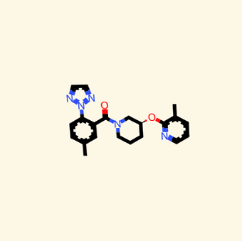 Cc1ccc(-n2nccn2)c(C(=O)N2CCC[C@@H](Oc3ncccc3C)C2)c1